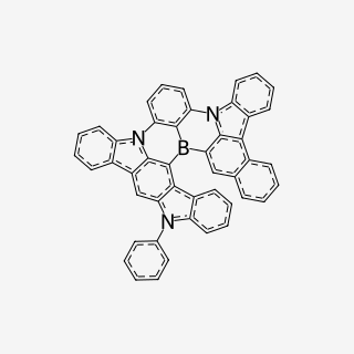 c1ccc(-n2c3ccccc3c3c4c5c(cc32)c2ccccc2n5-c2cccc3c2B4c2cc4ccccc4c4c5ccccc5n-3c24)cc1